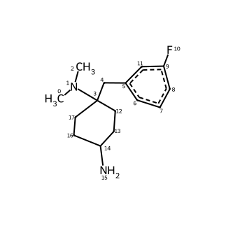 CN(C)C1(Cc2cccc(F)c2)CCC(N)CC1